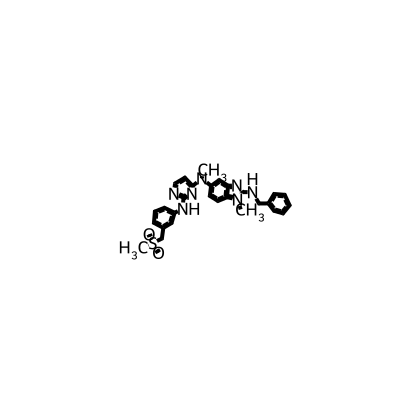 CN(c1ccc2c(c1)nc(NCc1ccccc1)n2C)c1ccnc(Nc2cccc(CS(C)(=O)=O)c2)n1